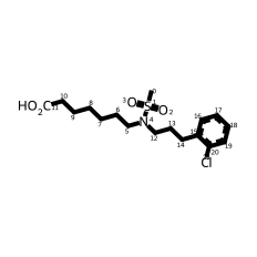 CS(=O)(=O)N(CCCCCCC(=O)O)CCCc1ccccc1Cl